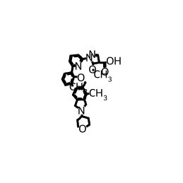 COC1C(C(=O)O)C=NN1c1cccc(-c2cccc(C)c2OCc2ccc3c(c2C)CN(C2CCOCC2)C3)n1